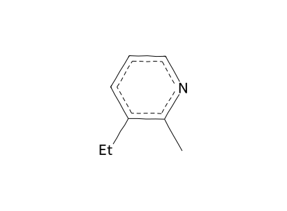 [CH2]Cc1cccnc1C